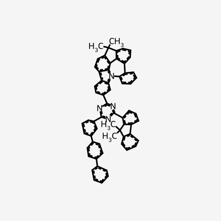 CC1(C)c2cccc3c2-c2c1ccc1c4ccc(-c5nc(-c6cccc(-c7ccc(-c8ccccc8)cc7)c6)nc(-c6cccc7c6C(C)(C)c6ccccc6-7)n5)cc4n(c21)-c1ccccc1-3